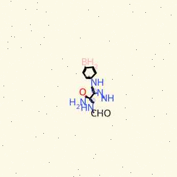 Bc1ccc(N/C=C(N=N)/C(=C/NC=O)C(N)=O)cc1